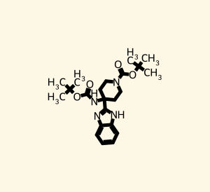 CC(C)(C)OC(=O)NC1(c2nc3ccccc3[nH]2)CCN(C(=O)OC(C)(C)C)CC1